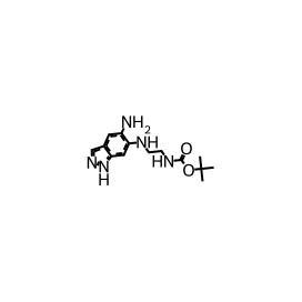 CC(C)(C)OC(=O)NCCNc1cc2[nH]ncc2cc1N